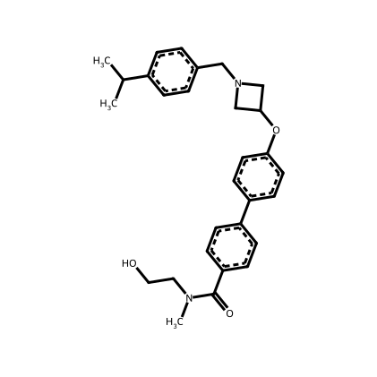 CC(C)c1ccc(CN2CC(Oc3ccc(-c4ccc(C(=O)N(C)CCO)cc4)cc3)C2)cc1